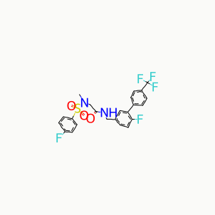 CN(CC(=O)NCc1ccc(F)c(-c2ccc(C(F)(F)F)cc2)c1)S(=O)(=O)c1ccc(F)cc1